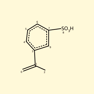 C=C(C)c1cccc(S(=O)(=O)O)c1